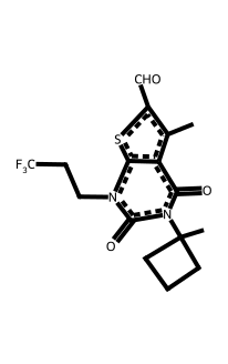 Cc1c(C=O)sc2c1c(=O)n(C1(C)CCC1)c(=O)n2CCC(F)(F)F